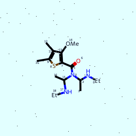 CCNC(C)N(C(=O)c1sc(C)c(C)c1OC)C(C)NCC